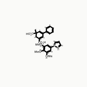 CC1(C(=O)O)C=C(c2ccccc2)C=C(C(=O)O)C1.COc1cc(-n2cccn2)cc(OC)c1OC